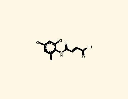 Cc1cc(Cl)cc(Cl)c1NC(=O)C=CC(=O)O